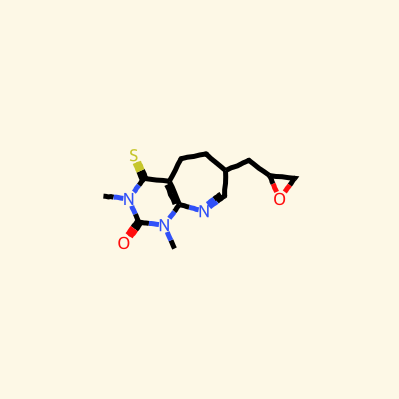 Cn1c2c(c(=S)n(C)c1=O)CCC(CC1CO1)C=N2